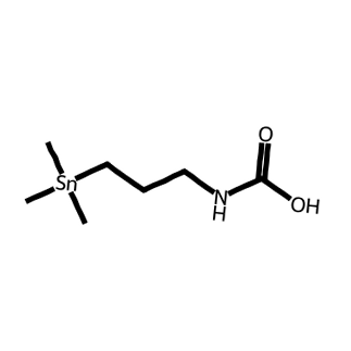 [CH3][Sn]([CH3])([CH3])[CH2]CCNC(=O)O